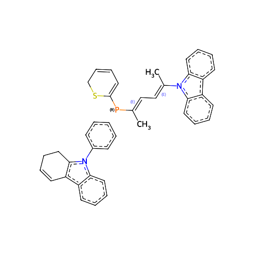 C/C(=C\C=C(/C)[P@](C1=CC=CCS1)c1ccc(-n2c3c(c4ccccc42)C=CCC3)cc1)n1c2ccccc2c2ccccc21